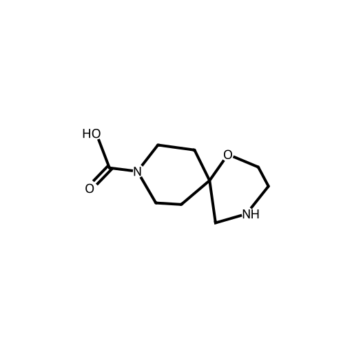 O=C(O)N1CCC2(CC1)CNCCO2